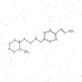 CC=Cc1ccc(COCCN2CCCCC2C)cc1